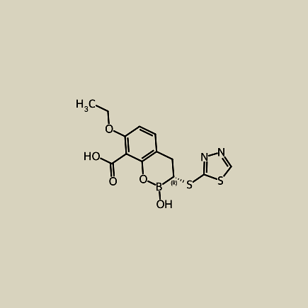 CCOc1ccc2c(c1C(=O)O)OB(O)[C@@H](Sc1nncs1)C2